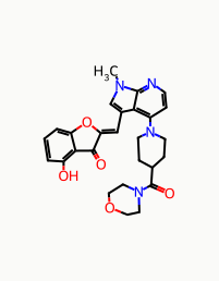 Cn1cc(C=C2Oc3cccc(O)c3C2=O)c2c(N3CCC(C(=O)N4CCOCC4)CC3)ccnc21